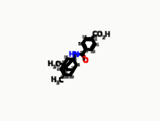 C[C@]12CC3CC(NC(=O)c4ccc(C(=O)O)cc4)(C1)C[C@@](C)(C3)C2